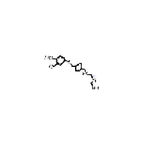 N=C/N=C\NCc1ccc(CSc2ccc(O)c(Cl)c2)cc1